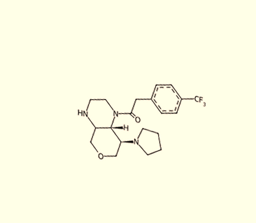 O=C(Cc1ccc(C(F)(F)F)cc1)N1CCNC2COC[C@H](N3CCCC3)[C@H]21